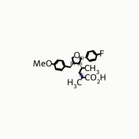 COc1ccc(C[C@H]2CO[C@H](c3ccc(F)cc3)[C@@H]2C(C)/C=C(/C)C(=O)O)cc1